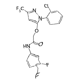 O=C(COc1cc(C(F)(F)F)nn1-c1ccccc1Cl)Nc1ccc(F)c(F)c1